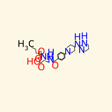 CCCCS(=O)(=O)N[C@@H](CNC(=O)c1ccc(N2CCC(NC3=NCCCN3)CC2)cc1)C(=O)O